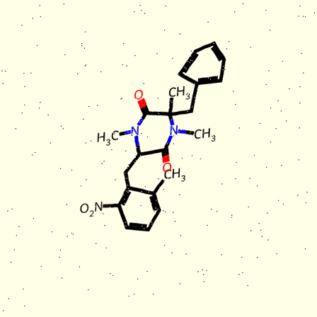 Cc1cccc([N+](=O)[O-])c1CC1C(=O)N(C)C(C)(Cc2ccccc2)C(=O)N1C